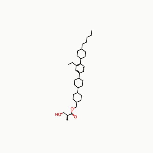 C=C(CO)C(=O)OCC1CCC(C2CCC(c3ccc(C4CCC(CCCCC)CC4)c(CC)c3)CC2)CC1